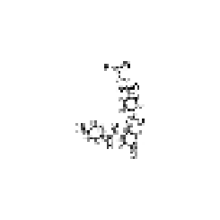 CCN(CC)CCS(=N)(=O)c1ccc(C(=O)Nc2ccc(Cl)cc2C(=O)Nc2ccc(Cl)cn2)cc1